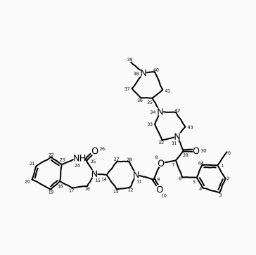 Cc1cccc(CC(OC(=O)N2CCC(N3CCc4ccccc4NC3=O)CC2)C(=O)N2CCN(C3CCN(C)CC3)CC2)c1